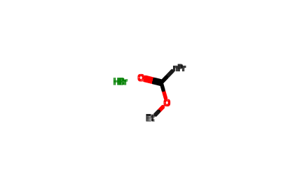 Br.CCCC(=O)OCC